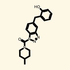 CC1CCN(C(=O)n2nnc3cc(Cc4ccccc4O)ccc32)CC1